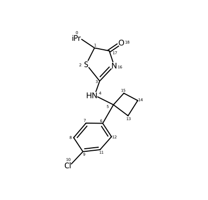 CC(C)C1SC(NC2(c3ccc(Cl)cc3)CCC2)=NC1=O